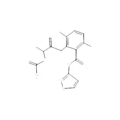 CC(OC(N)=O)C(=O)Cc1c(Cl)ccc(F)c1C(=O)Nc1cc[nH]n1